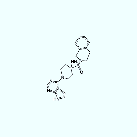 NC1(C(=O)N2CCc3ccccc3C2)CCN(c2ncnc3[nH]ccc23)CC1